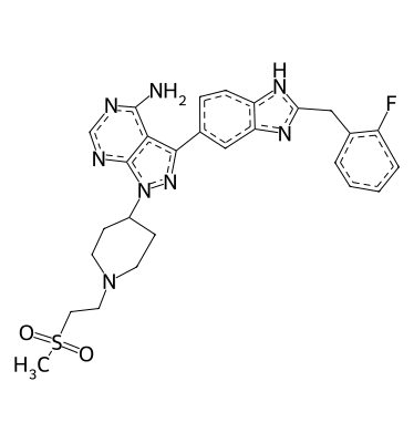 CS(=O)(=O)CCN1CCC(n2nc(-c3ccc4[nH]c(Cc5ccccc5F)nc4c3)c3c(N)ncnc32)CC1